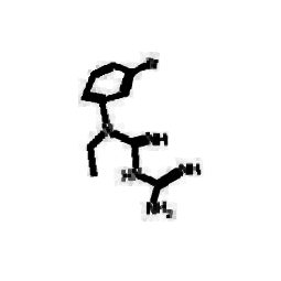 CCN(C(=N)NC(=N)N)c1cccc(Br)c1